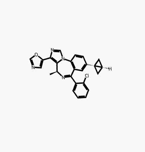 C[C@@H]1N=C(c2ccccc2Cl)c2cc([C@]34C[C@H]3C4)ccc2-n2cnc(-c3cnco3)c21